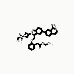 CCOC(=O)Cc1ccccc1OCc1c2cc(-c3ccc4ccnc(N)c4c3)ccc2nn1C1CN(S(=O)(=O)CC)C1